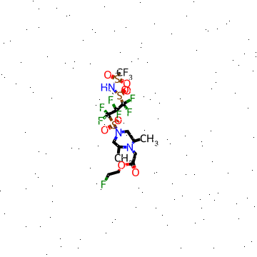 CC1CN(S(=O)(=O)C(F)(F)C(F)(F)C(F)(F)S(=O)(=O)NS(=O)(=O)C(F)(F)F)CC(C)N1CC(=O)OCCF